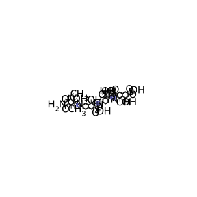 CCn1c(O)c(/N=N/c2ccc3cc(S(=O)(=O)O)c(/N=N/c4ccc(/N=N/c5c(S(=O)(=O)O)cc6cc(S(=O)(=O)O)cc(O)c6c5O)c(S(=O)(=O)O)c4)c(O)c3c2)c(C)c(C(N)=O)c1=O